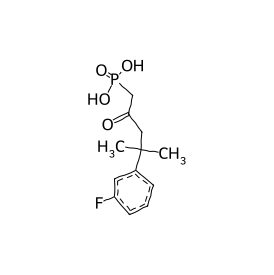 CC(C)(CC(=O)CP(=O)(O)O)c1cccc(F)c1